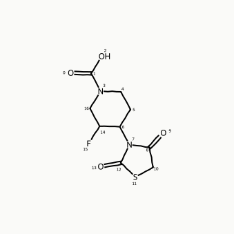 O=C(O)N1CCC(N2C(=O)CSC2=O)C(F)C1